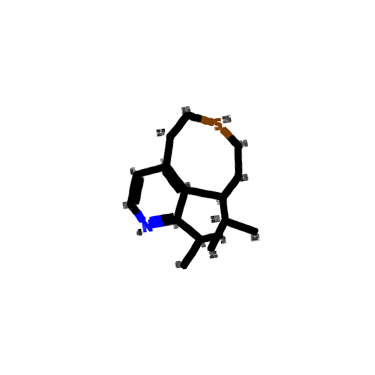 CC(C)c1nccc2c1C(C(C)C)CCSCC2